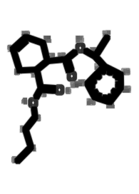 CCCCOC(=O)C1CC=CCC1C(=O)OC(C)c1ccccc1